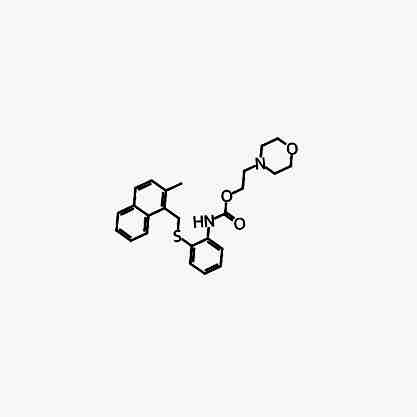 Cc1ccc2ccccc2c1CSc1ccccc1NC(=O)OCCN1CCOCC1